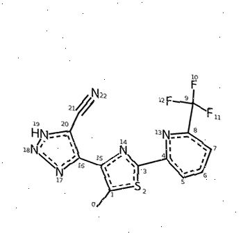 Cc1sc(-c2cccc(C(F)(F)F)n2)nc1-c1nn[nH]c1C#N